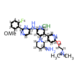 COc1cccc(F)c1-c1nccc(Nc2cc(N3CCC[C@H](N)C3)c(-c3ccc(OCCN(C)C)nc3)cn2)n1.Cl